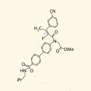 COC(=O)CN(C(=O)/C(F)=C(/C)c1cccc(C#N)c1)c1ccc(-c2ccc(S(=O)(=O)NCC(C)C)cc2)cc1